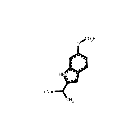 CCCCCCCCCC(C)c1cc2ccc(OC(=O)O)cc2[nH]1